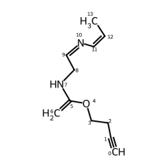 C#CCCOC(=C)NC/C=N\C=C/C